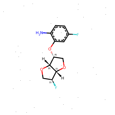 Nc1ccc(F)cc1O[C@@H]1CO[C@H]2[C@@H]1OC[C@@H]2F